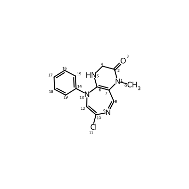 CN1C(=O)CNC2=C1C=NC(Cl)=CN2c1ccccc1